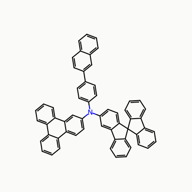 c1ccc2c(c1)-c1ccccc1C21c2ccccc2-c2cc(N(c3ccc(-c4ccc5ccccc5c4)cc3)c3ccc4c5ccccc5c5ccccc5c4c3)ccc21